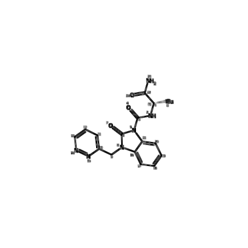 CC(C)(C)[C@H](NC(=O)n1c(=O)n(Cc2cccnn2)c2ccccc21)C(N)=O